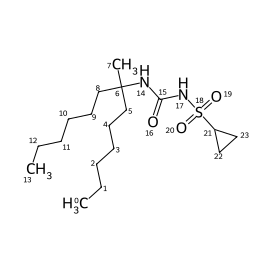 CCCCCCC(C)(CCCCCC)NC(=O)NS(=O)(=O)C1CC1